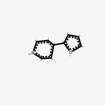 [c]1[c]c(-c2ccco2)ccn1